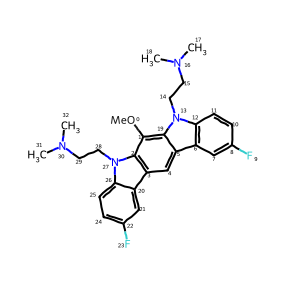 COc1c2c(cc3c4cc(F)ccc4n(CCN(C)C)c13)c1cc(F)ccc1n2CCN(C)C